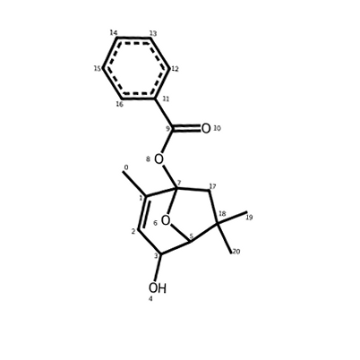 CC1=CC(O)C2OC1(OC(=O)c1ccccc1)CC2(C)C